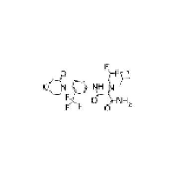 NC(=O)[C@@H](C(=O)Nc1ccc(N2CCOCC2=O)c(C(F)(F)F)c1)N(CC(F)F)CC1CCC1